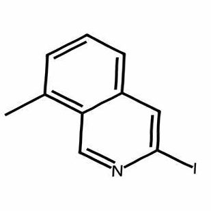 Cc1cccc2cc(I)ncc12